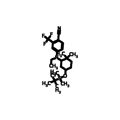 CCN(c1ccc(C#N)c(C(F)(F)F)c1)C1CC(O[Si](C)(C)C(C)(C)C)CCC1(C)C